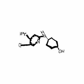 CC(C)c1cc(N[C@H]2CC[C@H](O)CC2)ncc1Cl